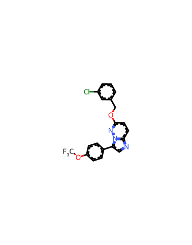 FC(F)(F)Oc1ccc(-c2cnc3ccc(OCc4cccc(Cl)c4)nn23)cc1